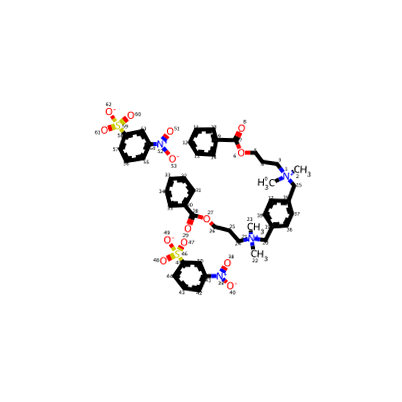 C[N+](C)(CCCOC(=O)c1ccccc1)Cc1ccc(C[N+](C)(C)CCCOC(=O)c2ccccc2)cc1.O=[N+]([O-])c1cccc(S(=O)(=O)[O-])c1.O=[N+]([O-])c1cccc(S(=O)(=O)[O-])c1